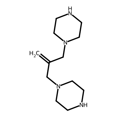 C=C(CN1CCNCC1)CN1CCNCC1